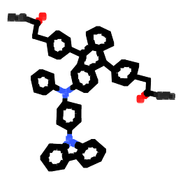 COC(=O)Cc1ccc(-c2c3ccccc3c(-c3ccc(CC(=O)OC)cc3)c3cc(N(c4ccccc4)c4ccc(-n5c6ccccc6c6ccccc65)cc4)ccc23)cc1